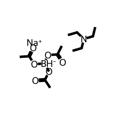 CC(=O)O[BH-](OC(C)=O)OC(C)=O.CCN(CC)CC.[Na+]